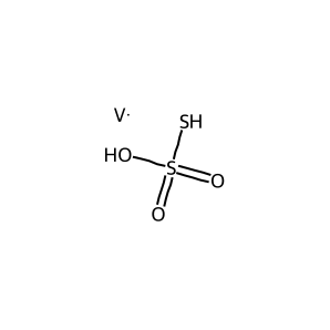 O=S(=O)(O)S.[V]